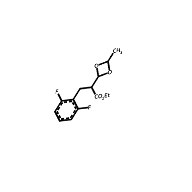 CCOC(=O)C(Cc1c(F)cccc1F)C1OC(C)O1